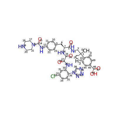 CC(C)(CNC(=O)[C@H](Cc1ccc(NC(=O)N2CCNCC2)cc1)NC(=O)C(=O)Nc1cc(Cl)ccc1-n1cnnn1)c1ccc(C(=O)O)cc1